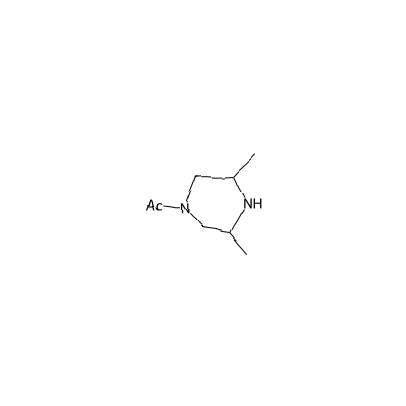 CC(=O)N1CC(C)NC(C)C1